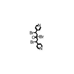 Br.O=C(CC(Br)c1ccncc1)CC(Br)c1ccncc1